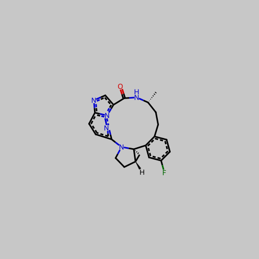 C[C@@H]1CCc2ccc(F)cc2[C@@]23C[C@@H]2CCN3c2ccc3ncc(n3n2)C(=O)N1